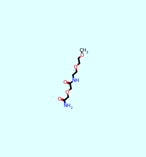 COCCOCCNC(=O)COCC(N)=O